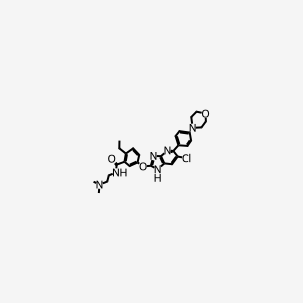 CCc1ccc(Oc2nc3nc(-c4ccc(N5CCOCC5)cc4)c(Cl)cc3[nH]2)cc1C(=O)NCCN(C)C